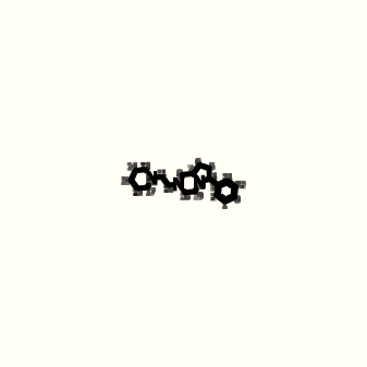 c1ccc(C2CCC3CN(CCN4CCCCC4)CCN32)cc1